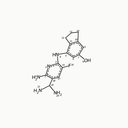 Nc1nc(Nc2cc(O)cc3c2CCC3)c(F)cc1C(N)N